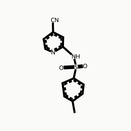 Cc1ccc(S(=O)(=O)Nc2cc(C#N)ccn2)cc1